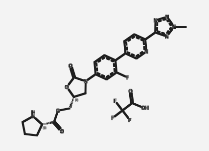 Cn1nnc(-c2ccc(-c3ccc(N4C[C@H](COC(=O)[C@@H]5CCCN5)OC4=O)cc3F)cn2)n1.O=C(O)C(F)(F)F